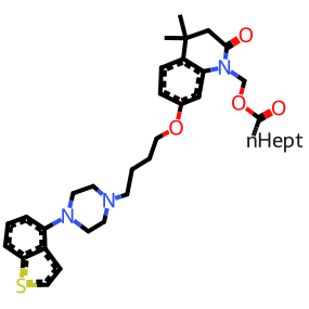 CCCCCCCC(=O)OCN1C(=O)CC(C)(C)c2ccc(OCCCCN3CCN(c4cccc5sccc45)CC3)cc21